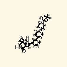 CC(C)(C)OC(=O)N1CCN(c2ccc(-c3cc(-c4cc5c([nH]4)C4(CCC4)CNC5=O)ccn3)cn2)CC1